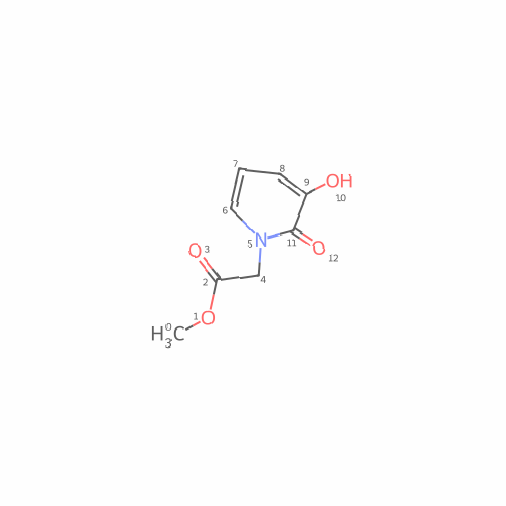 COC(=O)Cn1cccc(O)c1=O